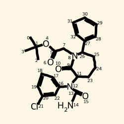 CC(C)(C)OC(=O)CN1C(=O)C(N(C(N)=O)c2cccc(Cl)c2)CCCC1c1ccccc1